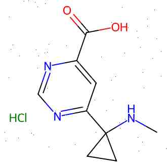 CNC1(c2cc(C(=O)O)ncn2)CC1.Cl